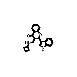 O=C1/C(=C\NC2CCC2)C(c2c[nH]c3ccccc23)Oc2ccccc21